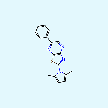 Cc1ccc(C)n1-c1nc2ncc(-c3ccccc3)nc2s1